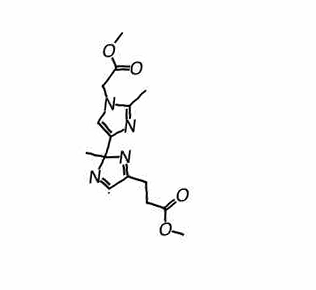 COC(=O)CCC1=NC(C)(c2cn(CC(=O)OC)c(C)n2)N=[C]1